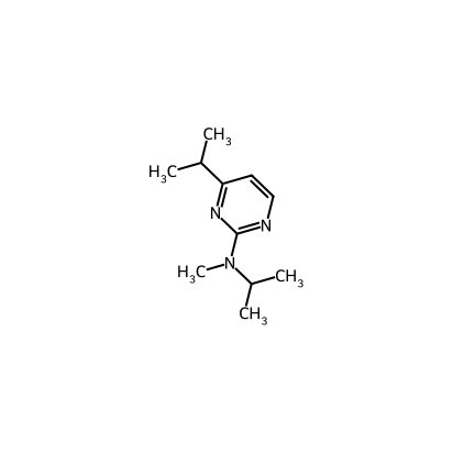 CC(C)c1ccnc(N(C)C(C)C)n1